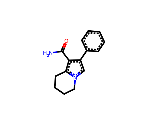 NC(=O)c1c(-c2ccccc2)cn2c1CCCC2